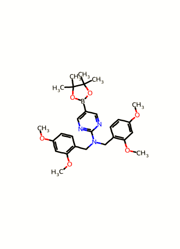 COc1ccc(CN(Cc2ccc(OC)cc2OC)c2ncc(B3OC(C)(C)C(C)(C)O3)cn2)c(OC)c1